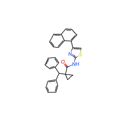 O=C(Nc1nc(-c2cccc3ccccc23)cs1)C1(C(c2ccccc2)c2ccccc2)CC1